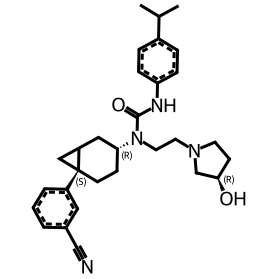 CC(C)c1ccc(NC(=O)N(CCN2CC[C@@H](O)C2)[C@@H]2CC[C@]3(c4cccc(C#N)c4)CC3C2)cc1